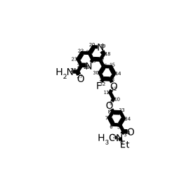 CCN(C)C(=O)c1ccc(OCCOc2ccc(-c3cncc4ccc(C(N)=O)nc34)cc2F)cc1